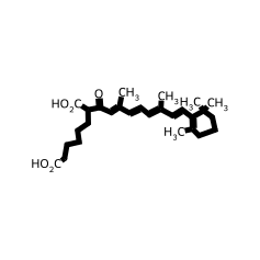 CC1=C(/C=C/C(C)=C/C=C/C(C)=C/C(=O)C(CCCCCC(=O)O)C(=O)O)C(C)(C)CCC1